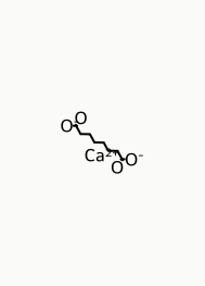 O=C([O-])CCCCCCC(=O)[O-].[Ca+2]